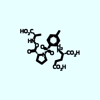 Cc1ccc(S(=O)(=O)N2CCC[C@@H]2C(=O)ON[C@@H](C)C(=O)O)cc1.N[C@@H](CCC(=O)O)C(=O)O